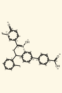 Cc1ccccc1C(CC(=NO)c1ccc(=O)n(C)c1)c1ccc(-c2ccc(C(=O)O)cc2)cc1